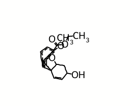 CCOC(=O)N1CCC23C=CC(O)CC2Oc2c(OC)ccc(c23)C1